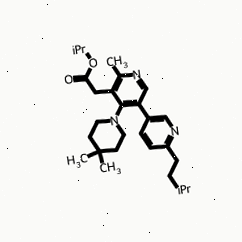 Cc1ncc(-c2ccc(CCC(C)C)nc2)c(N2CCC(C)(C)CC2)c1CC(=O)OC(C)C